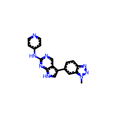 Cn1nnc2ccc(-c3c[nH]c4nc(Nc5ccncc5)ncc34)cc21